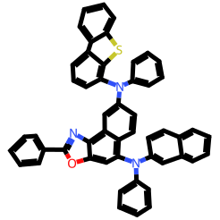 c1ccc(-c2nc3c(cc(N(c4ccccc4)c4ccc5ccccc5c4)c4ccc(N(c5ccccc5)c5cccc6c5sc5ccccc56)cc43)o2)cc1